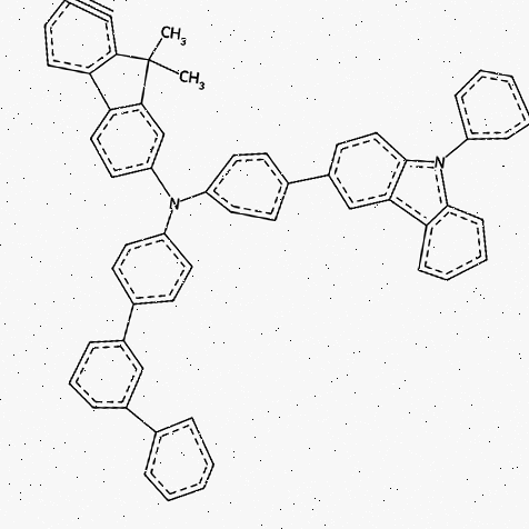 CC1(C)c2c#cccc2-c2ccc(N(c3ccc(-c4cccc(-c5ccccc5)c4)cc3)c3ccc(-c4ccc5c(c4)c4ccccc4n5-c4ccccc4)cc3)cc21